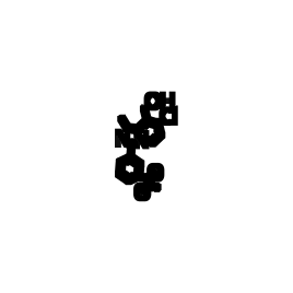 Cc1nc(-c2cccc(S(C)(=O)=O)c2)n2ccc(Cl)c(CO)c12